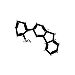 O=[N+]([O-])c1ccccc1-c1ccc2c(c1)-c1ccccc1C2